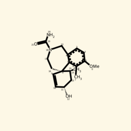 COc1ccc2c(c1C)[C@@]1(C=C[C@@H](O)C[C@@H]1C)CCN(C(N)=O)C2